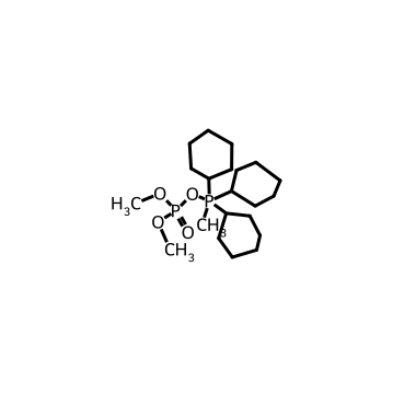 COP(=O)(OC)OP(C)(C1CCCCC1)(C1CCCCC1)C1CCCCC1